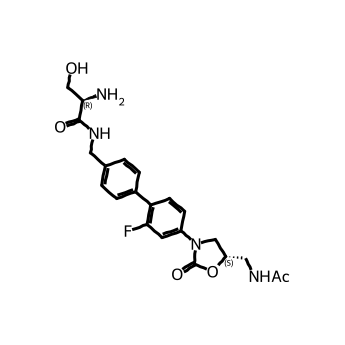 CC(=O)NC[C@H]1CN(c2ccc(-c3ccc(CNC(=O)[C@H](N)CO)cc3)c(F)c2)C(=O)O1